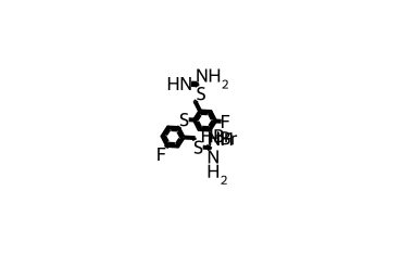 Br.Br.N=C(N)SCc1cc(F)ccc1Sc1ccc(F)cc1CSC(=N)N